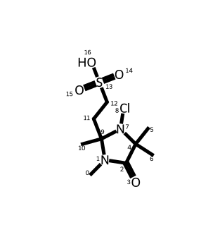 CN1C(=O)C(C)(C)N(Cl)C1(C)CCS(=O)(=O)O